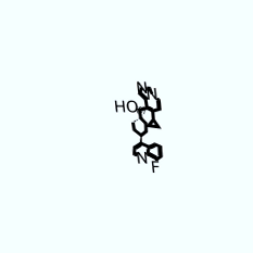 O[C@H](c1c(C2CC2)ccn2cncc12)[C@H]1CC[C@H](c2ccnc3c(F)cccc32)CC1